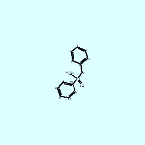 O=P(O)(Cc1ccccc1)c1ccccc1